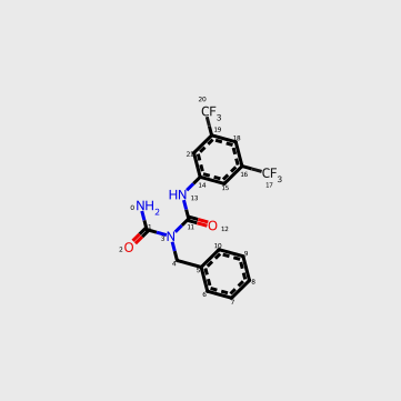 NC(=O)N(Cc1ccccc1)C(=O)Nc1cc(C(F)(F)F)cc(C(F)(F)F)c1